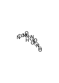 O=C(NCc1ccc(S(=O)(=O)C2CCN(C3CCOC3)CC2)cn1)N1Cc2ccncc2C1